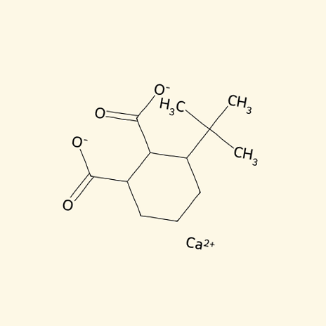 CC(C)(C)C1CCCC(C(=O)[O-])C1C(=O)[O-].[Ca+2]